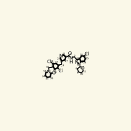 O=C(NCc1nn(C2CCCCO2)c2ccc(Cl)cc12)c1cncc(Cc2cc(Cl)c(Cn3ccccc3=O)cc2Cl)c1